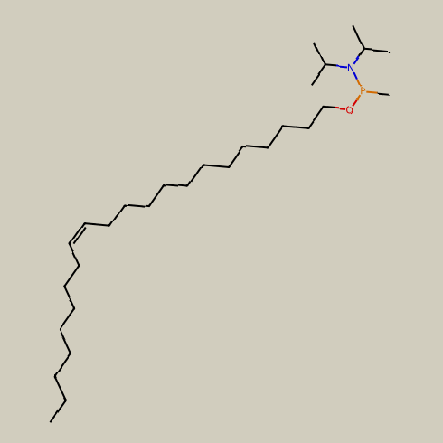 CCCCCCCC/C=C\CCCCCCCCCCCCOP(C)N(C(C)C)C(C)C